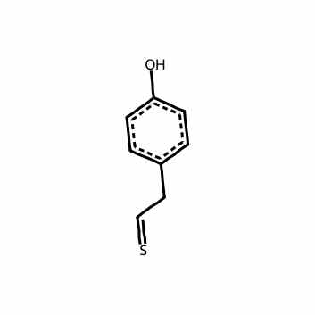 Oc1ccc(CC=S)cc1